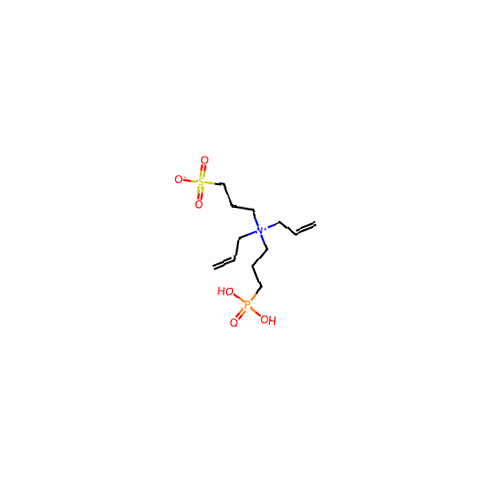 C=CC[N+](CC=C)(CCCP(=O)(O)O)CCCS(=O)(=O)[O-]